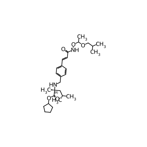 CC(C)COC(C)ONC(=O)C=Cc1ccc(CN[C@](C)(CC(C)C)C(=O)OC2CCCC2)cc1